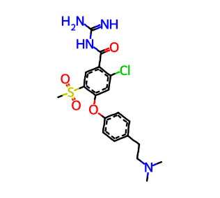 CN(C)CCc1ccc(Oc2cc(Cl)c(C(=O)NC(=N)N)cc2S(C)(=O)=O)cc1